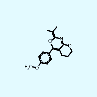 CC(C)=C(Cl)/N=C1/OCCC/C1=C(/C)c1ccc(OC(F)(F)F)cc1